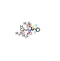 CCC(=O)N(CCCC(C)OC)c1cc(C2=C(F)CCCC2F)sc1C(=O)OC